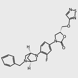 O=C1O[C@@H](COc2cnsn2)CN1c1ccc(N2C[C@@H]3C[C@H]2CN3Cc2ccccc2)c(F)c1